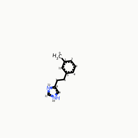 Cc1cccc(CCc2c[nH]cn2)c1